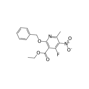 CCOC(=O)c1c(OCc2ccccc2)nc(C)c([N+](=O)[O-])c1F